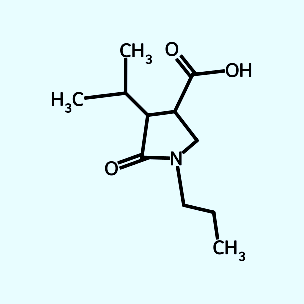 CCCN1CC(C(=O)O)C(C(C)C)C1=O